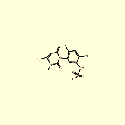 CCS(=O)(=O)Nc1cc(-n2c(=O)cc(C(F)(F)F)n(C)c2=O)c(F)cc1C#N